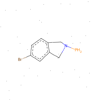 PN1Cc2ccc(Br)cc2C1